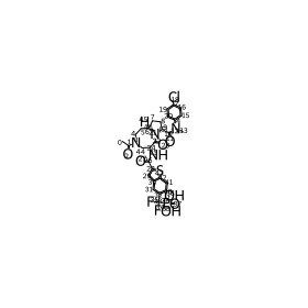 CC(=O)N1CC[C@H]2CC[C@@H](C(=O)N(C)c3ccc(Cl)cc3)N2C(=O)C(NC(=O)c2cc3cc(C(F)(F)P(=O)(O)O)ccc3s2)C1